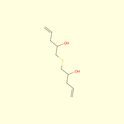 C=CCC(O)CSCC(O)CC=C